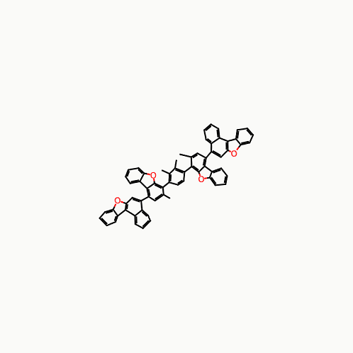 Cc1cc(-c2cc3oc4ccccc4c3c3ccccc23)c2c(oc3ccccc32)c1-c1ccc(-c2c(C)cc(-c3cc4oc5ccccc5c4c4ccccc34)c3c2oc2ccccc23)c(C)c1C